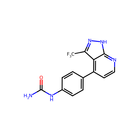 NC(=O)Nc1ccc(-c2ccnc3[nH]nc(C(F)(F)F)c23)cc1